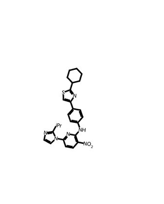 CC(C)c1nccn1-c1ccc([N+](=O)[O-])c(Nc2ccc(-c3csc(C4CCCCC4)n3)cc2)n1